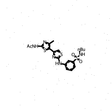 CCCCNS(=O)(=O)c1cccc(Nc2nc(-c3sc(NC(C)=O)nc3C)cs2)c1